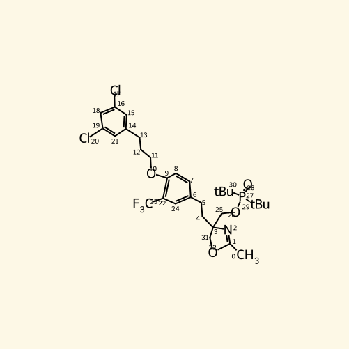 CC1=NC(CCc2ccc(OCCCc3cc(Cl)cc(Cl)c3)c(C(F)(F)F)c2)(COP(=O)(C(C)(C)C)C(C)(C)C)CO1